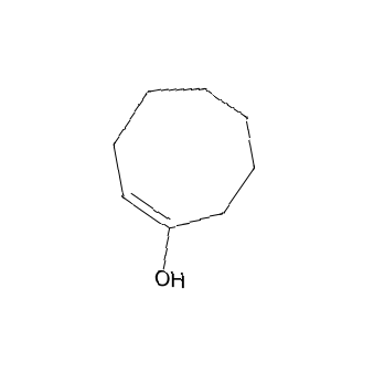 O/C1=C/CCCCCC1